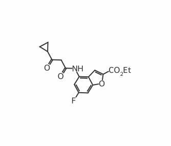 CCOC(=O)c1cc2c(NC(=O)CC(=O)C3CC3)cc(F)cc2o1